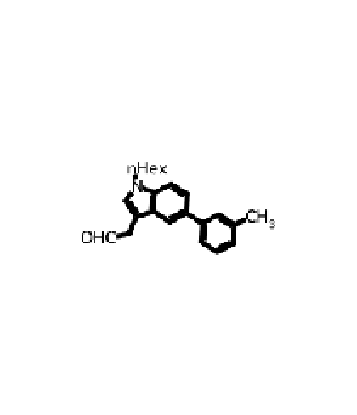 CCCCCCn1cc(CC=O)c2cc(-c3cccc(C)c3)ccc21